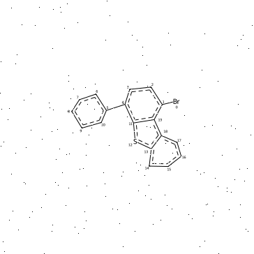 Brc1ccc(-c2ccccc2)c2sc3ccccc3c12